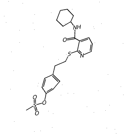 CS(=O)(=O)Oc1ccc(CCSc2ncccc2C(=O)NC2CCCCC2)cc1